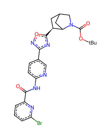 CC(C)(C)OC(=O)N1CC2CC1[C@@H](c1nc(-c3ccc(NC(=O)c4cccc(Br)n4)nc3)no1)C2